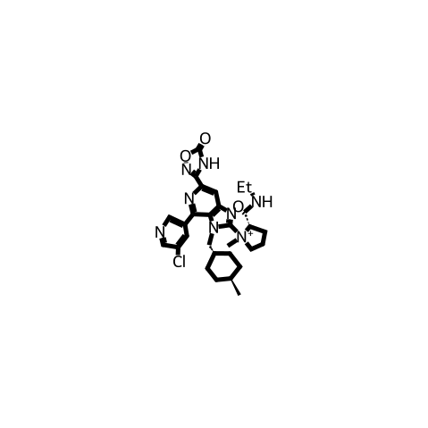 CCNC(=O)[C@@H]1CCC[N+]1(C)c1nc2cc(-c3noc(=O)[nH]3)nc(-c3cncc(Cl)c3)c2n1C[C@H]1CC[C@H](C)CC1